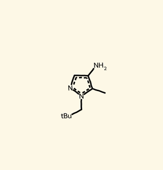 Cc1c(N)cnn1CC(C)(C)C